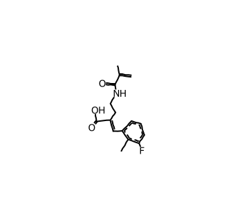 C=C(C)C(=O)NCC/C(=C\c1cccc(F)c1C)C(=O)O